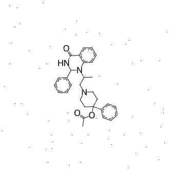 CC(=O)OC1(c2ccccc2)CCN(CC(C)N2c3ccccc3C(=O)NC2c2ccccc2)CC1